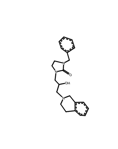 O=C1N(Cc2ccccc2)CCN1CC(O)CN1CCc2ccccc2C1